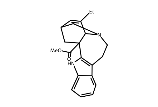 CCC1=CC2CN3CCc4c([nH]c5ccccc45)C(C(=O)OC)(C2)C13